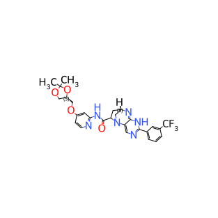 CC1(C)OC[C@H](COc2ccnc(NC(=O)C3C[C@H]4CN3C3=CN=C(c5cccc(C(F)(F)F)c5)NC3=N4)c2)O1